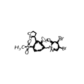 Cc1c(-n2ncc(Br)c(Br)c2=O)ccc(S(C)(=O)=O)c1C1=NOCC1